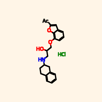 CC(=O)c1cc2cccc(OCC(O)CNC3CCc4ccccc4C3)c2o1.Cl